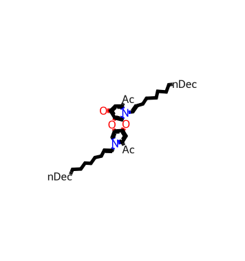 CCCCCCCCCCCCCCCCC=Cn1cc(Oc2cn(C=CCCCCCCCCCCCCCCCC)c(C(C)=O)cc2=O)c(=O)cc1C(C)=O